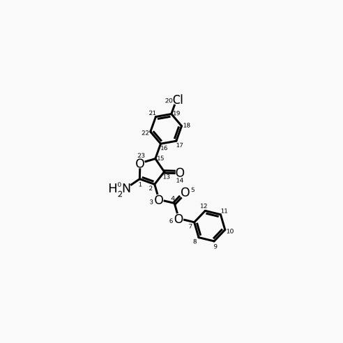 NC1=C(OC(=O)Oc2ccccc2)C(=O)C(c2ccc(Cl)cc2)O1